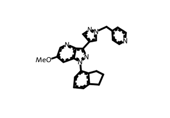 COc1cnc2c(-c3cnn(Cc4ccncc4)c3)nn(-c3cccc4c3CCC4)c2c1